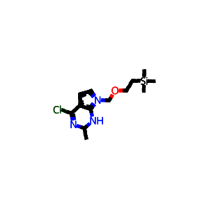 CC1N=C(Cl)c2ccn(COCC[Si](C)(C)C)c2N1